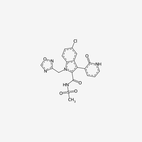 CS(=O)(=O)NC(=O)c1c(-c2ccc[nH]c2=O)c2cc(Cl)ccc2n1Cc1ncon1